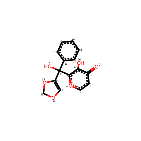 O=c1ccoc(C(O)(C2=COCO2)c2ccccc2)c1O